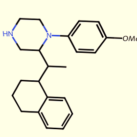 COc1ccc(N2CCNCC2C(C)C2CCCc3ccccc32)cc1